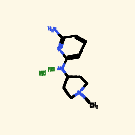 CN1CCC(Nc2cccc(N)n2)CC1.Cl.Cl